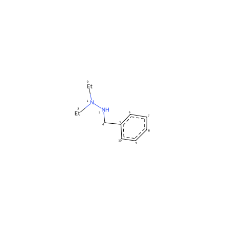 CCN(CC)NCc1ccccc1